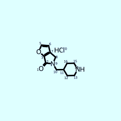 Cl.O=C1c2occc2CN1CC1CCNCC1